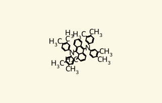 Cc1ccc(N(C2=c3ccccc3=C(N(c3ccc(C)c(C)c3)c3ccc(C)c(C)c3)C3C2=CC=CC3C)c2ccc(C)c(C)c2)cc1C